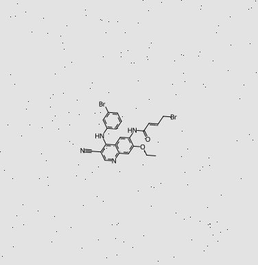 CCOc1cc2ncc(C#N)c(Nc3cccc(Br)c3)c2cc1NC(=O)/C=C/CBr